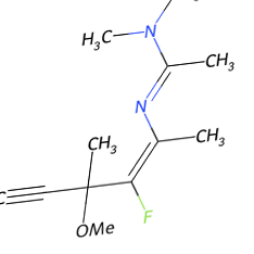 C#CC(C)(OC)/C(F)=C(C)\N=C(/C)N(C)C